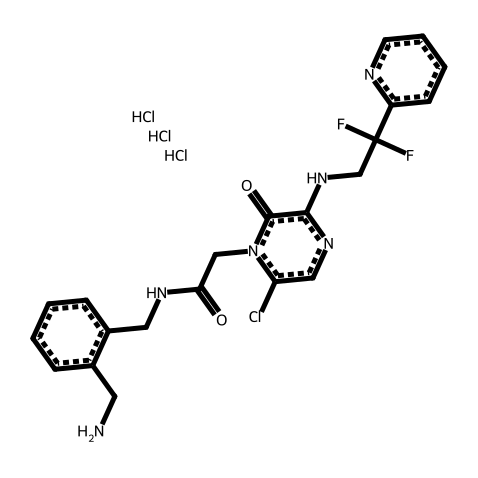 Cl.Cl.Cl.NCc1ccccc1CNC(=O)Cn1c(Cl)cnc(NCC(F)(F)c2ccccn2)c1=O